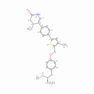 CCOC(=O)[C@H](Cc1ccc(OCc2sc(-c3ccc(C4=NNC(=O)CC4C)cc3)cc2C)cc1)OCC